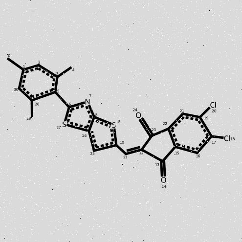 Cc1cc(C)c(-c2nc3sc(C=C4C(=O)c5cc(Cl)c(Cl)cc5C4=O)cc3s2)c(C)c1